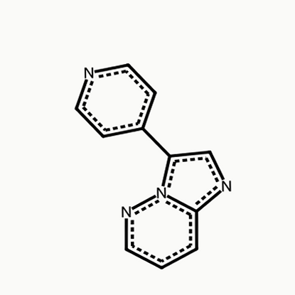 c1cnn2c(-c3ccncc3)cnc2c1